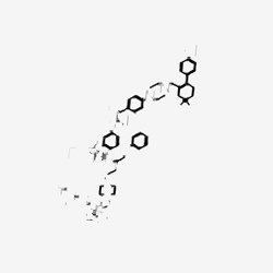 CCOP(=O)(CN1CCN(CC[C@H](CSc2ccccc2)Nc2ccc(SNC(=O)c3ccc(N4CCN(CC5=C(c6ccc(Cl)cc6)CCC(C)(C)C5)CC4)cc3)cc2S(=O)(=O)C(F)(F)F)CC1)OCOC(=O)OC(C)C